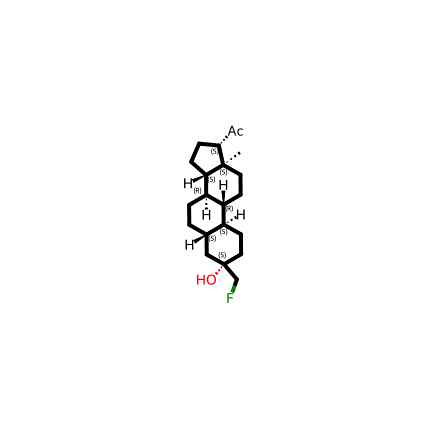 CC(=O)[C@H]1CC[C@H]2[C@@H]3CC[C@H]4C[C@](O)(CF)CC[C@@H]4[C@H]3CC[C@]12C